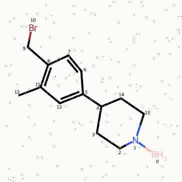 BN1CCC(c2ccc(CBr)c(C)c2)CC1